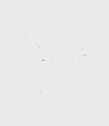 CC[C@H]1OC(=O)[C@H](C)[C@@H](O[C@H]2C[C@@](C)(OC)[C@]3(CO3)[C@H](C)O2)[C@H](C)[C@@H](O[C@@H]2O[C@H](C)C[C@H]3[C@H]2OC(C(F)(F)F)N3CC(C)C)[C@](C)(O)C[C@@H](C)CN[C@H](C)[C@@H](O)[C@]1(C)O